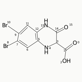 O=C(O)C1Nc2cc(Br)c(Br)cc2NC1=O